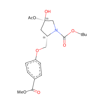 COC(=O)c1ccc(OC[C@@H]2C[C@](O)(OC(C)=O)CN2C(=O)OC(C)(C)C)cc1